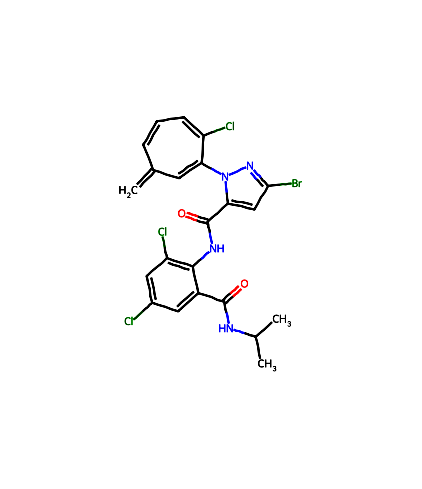 C=C1C=CC=C(Cl)C(n2nc(Br)cc2C(=O)Nc2c(Cl)cc(Cl)cc2C(=O)NC(C)C)=C1